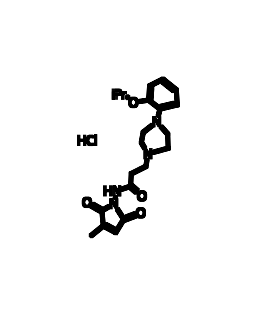 CC1=CC(=O)N(NC(=O)CCN2CCN(c3ccccc3OC(C)C)CC2)C1=O.Cl